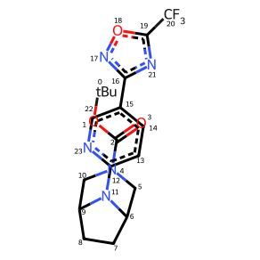 CC(C)(C)OC(=O)N1CC2CCC(C1)N2c1ccc(-c2noc(C(F)(F)F)n2)cn1